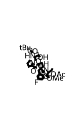 COC(=O)[C@@H](NC(=O)C1(Cc2cccc(F)c2)CCCN1C(=O)C1CCCN1C(=O)[C@@H](NC(=O)OC(C)(C)C)[C@@H](C)O)[C@@H](C)OC(C)=O